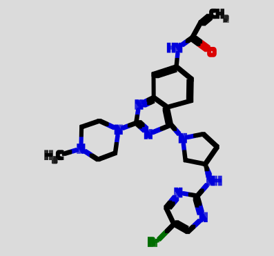 C=CC(=O)Nc1ccc2c(N3CC[C@@H](Nc4ncc(Br)cn4)C3)nc(N3CCN(C)CC3)nc2c1